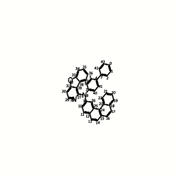 c1ccc(-c2ccc(N(c3ccc4ccc5ccc6ccccc6c5c4c3)c3nccc4oc5ccccc5c34)cc2)cc1